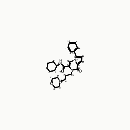 O=C(NC1CCCCC1)c1cn2c(-c3ccccc3)ccc2c(=O)n1CCCN1CCOCC1